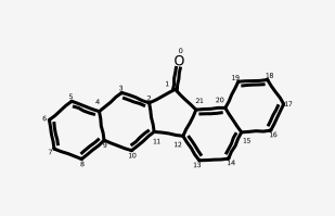 O=C1c2cc3ccccc3cc2-c2ccc3ccccc3c21